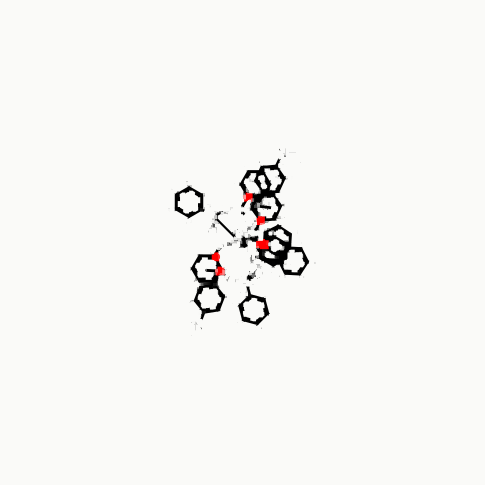 C[Si]1(c2ccc(N)cc2)O[Si]2(c3ccccc3)O[Si]3(c4ccccc4)O[Si]4(c5ccccc5)O[Si](C)(c5ccc(N)cc5)O[Si]5(c6ccccc6)O[Si](c6ccccc6)(O[Si](c6ccccc6)(O1)O[Si](c1ccccc1)(O5)O[Si](c1ccccc1)(O2)O4)O3